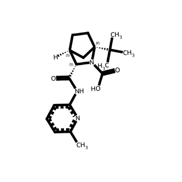 Cc1cccc(NC(=O)[C@@H]2[C@H]3CC[C@](C(C)(C)C)(C3)N2C(=O)O)n1